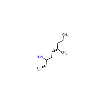 C=CC(N)C/C=C(\C)CCC